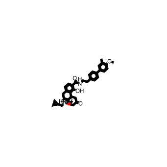 COc1ccc(-c2ccc(CCNC(=O)c3ccc4c(c3O)[C@]35CCN(CC6CC6)[C@H](C4)C3(O)CCC(=O)C5)cc2)cc1C